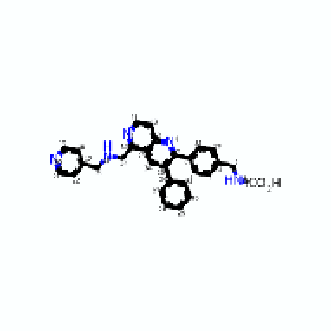 O=C(O)NCc1ccc(-c2nc3ccnc(CNCc4ccncc4)c3cc2-c2ccccc2)cc1